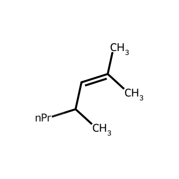 CCCC(C)C=C(C)C